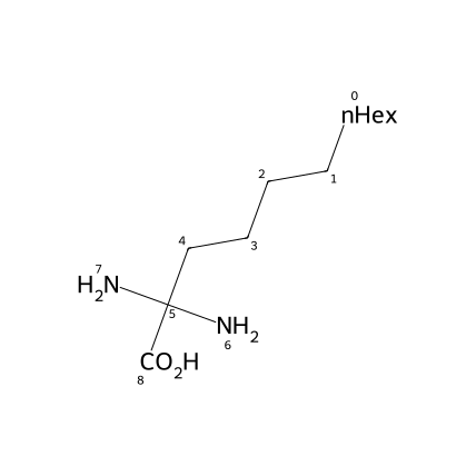 CCCCCCCCCCC(N)(N)C(=O)O